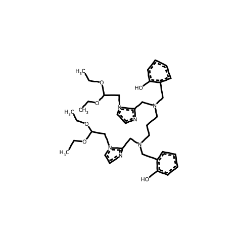 CCOC(Cn1ccnc1CN(CCCN(Cc1ccccc1O)Cc1nccn1CC(OCC)OCC)Cc1ccccc1O)OCC